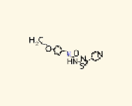 C=CCOc1ccc(/C=C/C(=O)Nc2nc(-c3ccncc3)cs2)cc1